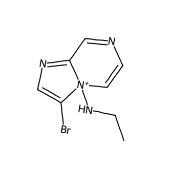 CCN[N+]12C=CN=CC1=NC=C2Br